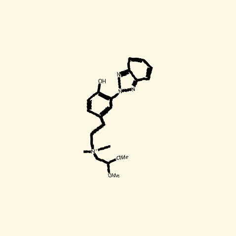 COC(C[N+](C)(C)CCc1ccc(O)c(-n2nc3ccccc3n2)c1)OC